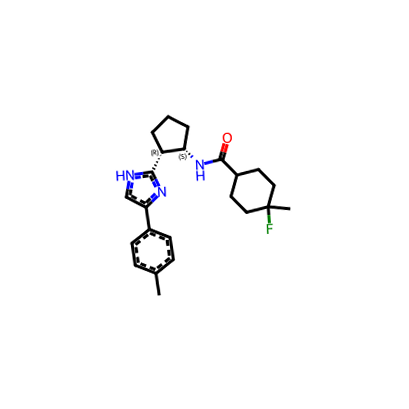 Cc1ccc(-c2c[nH]c([C@@H]3CCC[C@@H]3NC(=O)C3CCC(C)(F)CC3)n2)cc1